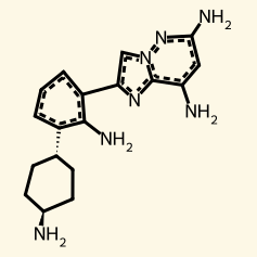 Nc1cc(N)c2nc(-c3cccc([C@H]4CC[C@H](N)CC4)c3N)cn2n1